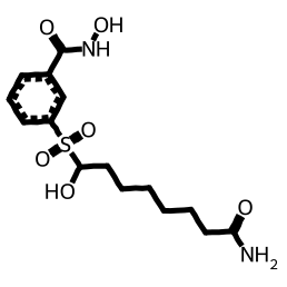 NC(=O)CCCCCCC(O)S(=O)(=O)c1cccc(C(=O)NO)c1